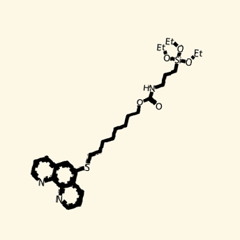 CCO[Si](CCCNC(=O)OCCCCCCCCSc1cc2cccnc2c2ncccc12)(OCC)OCC